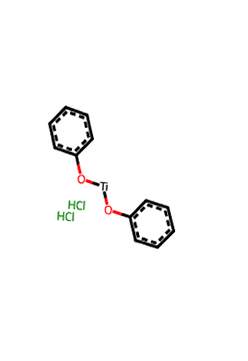 Cl.Cl.c1ccc([O][Ti][O]c2ccccc2)cc1